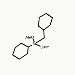 CO[Si](CC1CCCCC1)(OC)C1CCCCC1